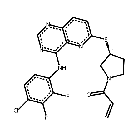 C=CC(=O)N1CC[C@H](Sc2ccc3ncnc(Nc4ccc(Cl)c(Cl)c4F)c3n2)C1